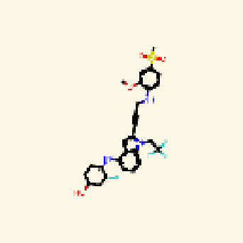 COc1cc(S(C)(=O)=O)ccc1NCC#Cc1cc2c(N[C@@H]3CCC(O)C[C@@H]3F)cccc2n1CC(F)(F)F